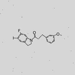 COc1cccc(CCC(=O)N2CCc3cc(I)c(F)cc32)c1